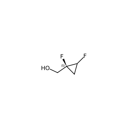 OC[C@@]1(F)CC1F